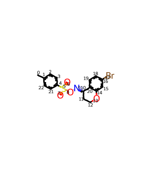 Cc1ccc(S(=O)(=O)O/N=C2\CCOc3cc(Br)ccc32)cc1